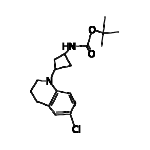 CC(C)(C)OC(=O)NC1CC(N2CCCc3cc(Cl)ccc32)C1